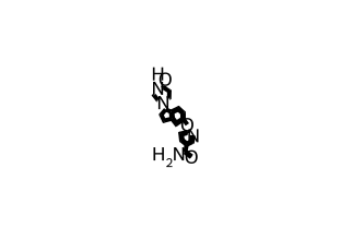 NC(=O)c1ccc(Oc2ccc3c(c2)CCC3N2CCNC(=O)CC2)nc1